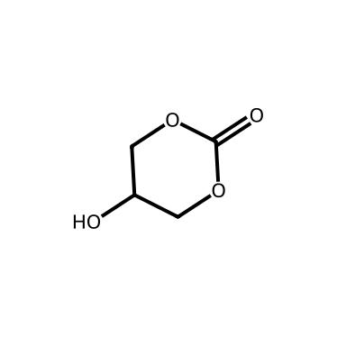 O=C1OCC(O)CO1